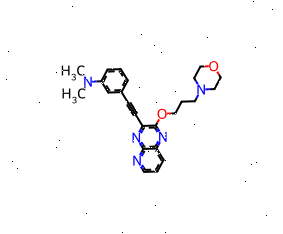 CN(C)c1cccc(C#Cc2nc3ncccc3nc2OCCCN2CCOCC2)c1